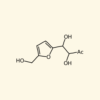 CC(=O)C(O)C(O)c1ccc(CO)o1